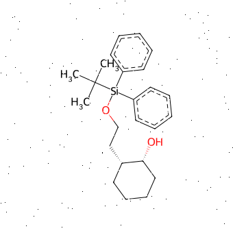 CC(C)(C)[Si](OCC[C@H]1CCCC[C@H]1O)(c1ccccc1)c1ccccc1